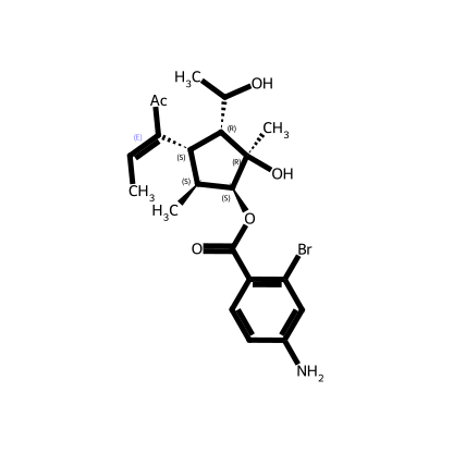 C/C=C(/C(C)=O)[C@H]1[C@H](C)[C@H](OC(=O)c2ccc(N)cc2Br)[C@](C)(O)[C@H]1C(C)O